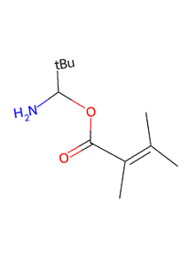 CC(C)=C(C)C(=O)OC(N)C(C)(C)C